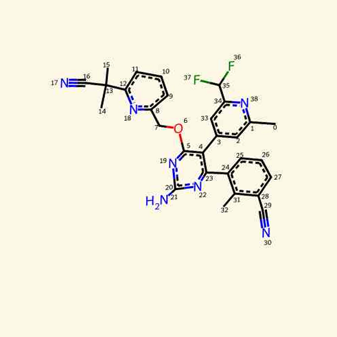 Cc1cc(-c2c(OCc3cccc(C(C)(C)C#N)n3)nc(N)nc2-c2cccc(C#N)c2C)cc(C(F)F)n1